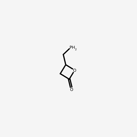 O=C1CC(CP)O1